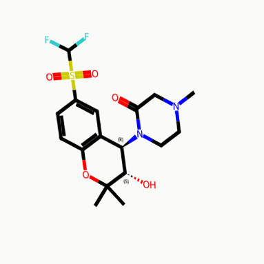 CN1CCN([C@@H]2c3cc(S(=O)(=O)C(F)F)ccc3OC(C)(C)[C@H]2O)C(=O)C1